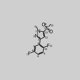 Cn1nc(-c2cc(F)ccc2F)cc1S(C)(=O)=O